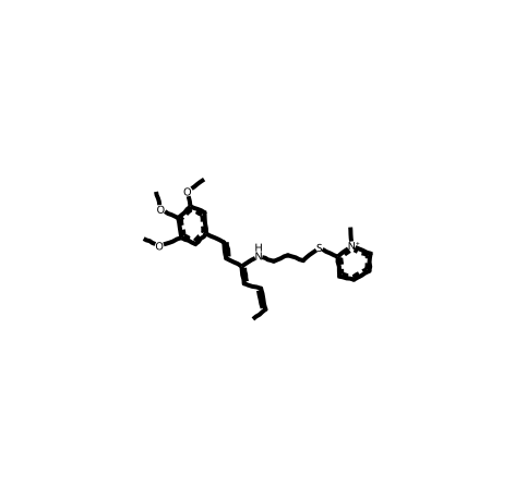 C\C=C/C=C(/C=C/c1cc(OC)c(OC)c(OC)c1)NCCCSc1cccc[n+]1C